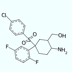 NC1CCC(c2cc(F)ccc2F)(S(=O)(=O)c2ccc(Cl)cc2)CC1CO